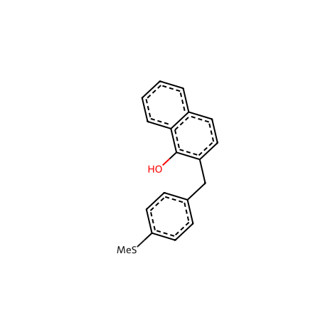 CSc1ccc(Cc2ccc3ccccc3c2O)cc1